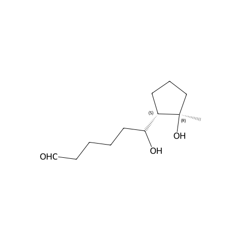 C[C@@]1(O)CCC[C@H]1C(O)CCCCC=O